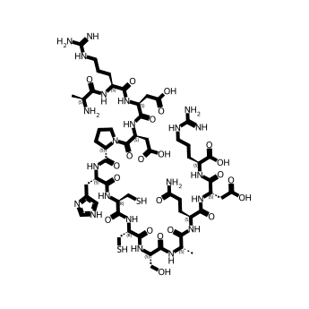 C[C@H](N)C(=O)N[C@@H](CCCNC(=N)N)C(=O)N[C@@H](CC(=O)O)C(=O)N[C@@H](CC(=O)O)C(=O)N1CCC[C@H]1C(=O)N[C@@H](Cc1c[nH]cn1)C(=O)N[C@@H](CS)C(=O)N[C@@H](CS)C(=O)N[C@@H](CO)C(=O)N[C@@H](C)C(=O)N[C@@H](CCC(N)=O)C(=O)N[C@@H](CC(=O)O)C(=O)N[C@@H](CCCNC(=N)N)C(=O)O